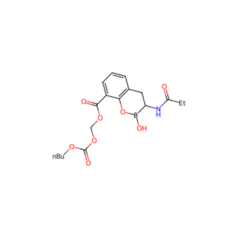 CCCCOC(=O)OCOC(=O)c1cccc2c1OB(O)C(NC(=O)CC)C2